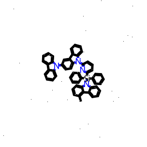 Cc1cccc2c1c1ccccc1n2[Si](c1ccccc1)(c1ccccc1)c1cccc(-n2c3ccccc3c3cc(-n4c5ccccc5c5ccccc54)ccc32)n1